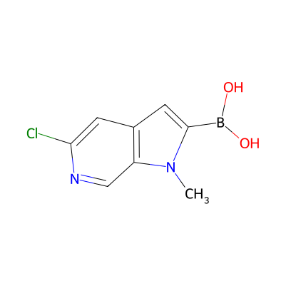 Cn1c(B(O)O)cc2cc(Cl)ncc21